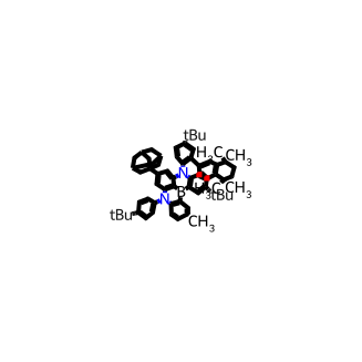 Cc1ccc2c(c1)B1c3cc(C(C)(C)C)ccc3N(c3ccc(C(C)(C)C)cc3-c3ccc4c(c3)C(C)(C)CCC4(C)C)c3cc(C45CC6CC(CC(C6)C4)C5)cc(c31)N2c1ccc(C(C)(C)C)cc1